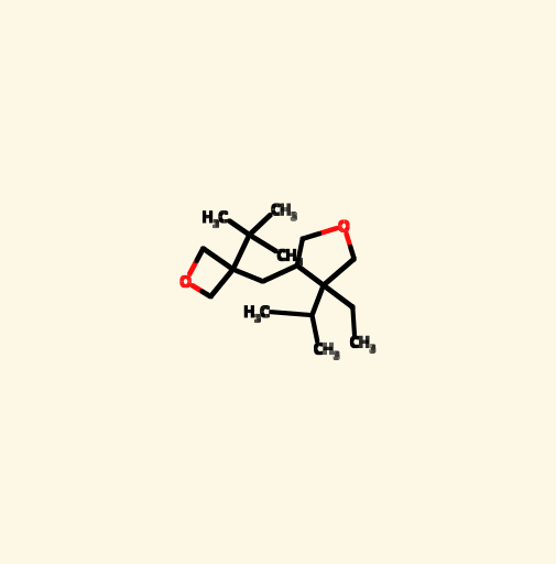 CCC1(C(C)C)COCC1CC1(C(C)(C)C)COC1